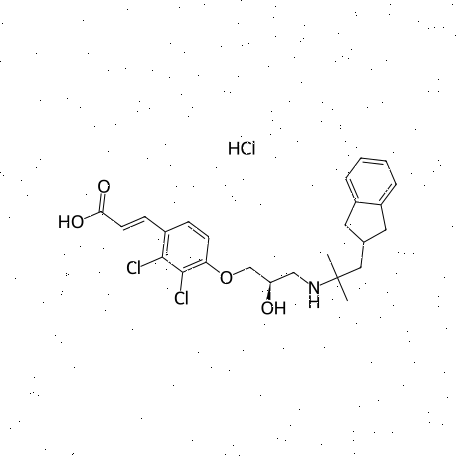 CC(C)(CC1Cc2ccccc2C1)NC[C@@H](O)COc1ccc(/C=C/C(=O)O)c(Cl)c1Cl.Cl